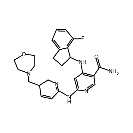 NC(=O)c1cnc(NC2=NCC(CN3CCOCC3)C=C2)cc1NC1CCc2cccc(F)c21